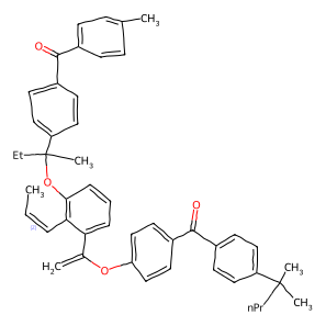 C=C(Oc1ccc(C(=O)c2ccc(C(C)(C)CCC)cc2)cc1)c1cccc(OC(C)(CC)c2ccc(C(=O)c3ccc(C)cc3)cc2)c1/C=C\C